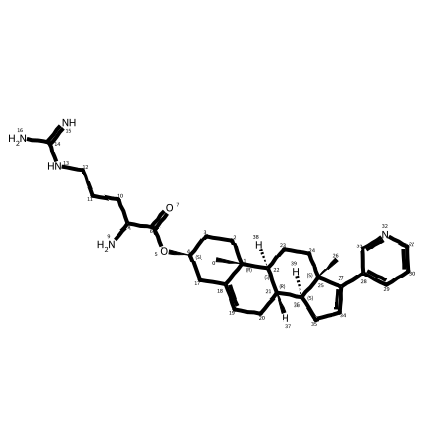 C[C@]12CC[C@H](OC(=O)C(N)CCCNC(=N)N)CC1=CC[C@@H]1[C@@H]2CC[C@]2(C)C(c3cccnc3)=CC[C@@H]12